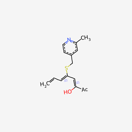 C=C/C=C(/C=C(\O)C(C)=O)SCc1ccnc(C)c1